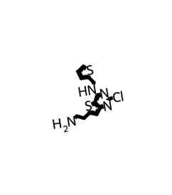 NCCc1cc2nc(Cl)nc(NCc3cccs3)c2s1